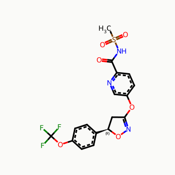 CS(=O)(=O)NC(=O)c1ccc(OC2=NO[C@@H](c3ccc(OC(F)(F)F)cc3)C2)cn1